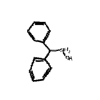 S[SiH2]C(c1ccccc1)c1ccccc1